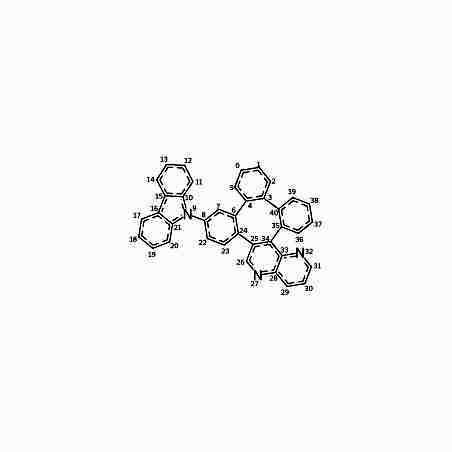 c1ccc2c(c1)-c1cc(-n3c4ccccc4c4ccccc43)ccc1-c1cnc3cccnc3c1-c1ccccc1-2